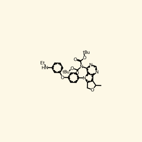 CCNc1cccc(Oc2ccc(-n3c4c(c5ncnc(N(C(=O)OC(C)(C)C)C(=O)OC(C)(C)C)c53)C(C)OC4)cc2)c1